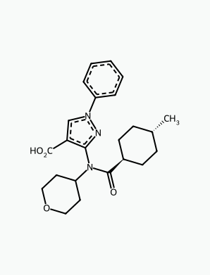 C[C@H]1CC[C@H](C(=O)N(c2nn(-c3ccccc3)cc2C(=O)O)C2CCOCC2)CC1